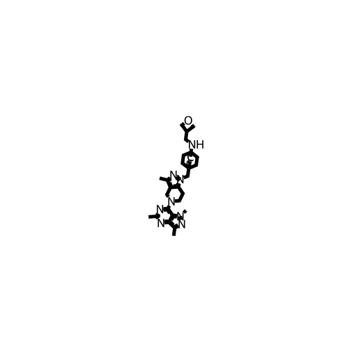 Cc1nc(N2CCc3c(c(C)nn3CC34CCC(NCC5COC5)(CC3)CC4)C2)c2c(n1)c(C)nn2C